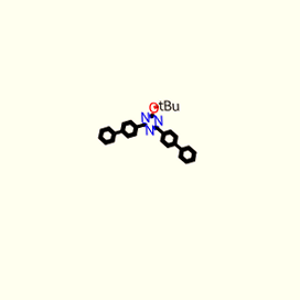 CC(C)(C)Oc1nc(-c2ccc(-c3ccccc3)cc2)nc(-c2ccc(-c3ccccc3)cc2)n1